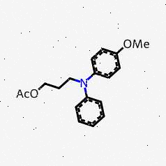 COc1ccc(N(CCCOC(C)=O)c2ccccc2)cc1